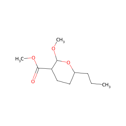 CCCC1CCC(C(=O)OC)C(OC)O1